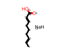 CC=CCCCC=CC(=O)O.[NaH]